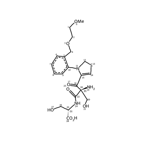 COCCOCc1ccccc1N1CSC=C1C(=O)[C@](N)(CO)C(=O)N[C@@H](CO)C(=O)O